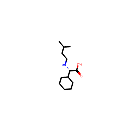 CC(C)CCN[C@H](C(=O)O)C1CCCCC1